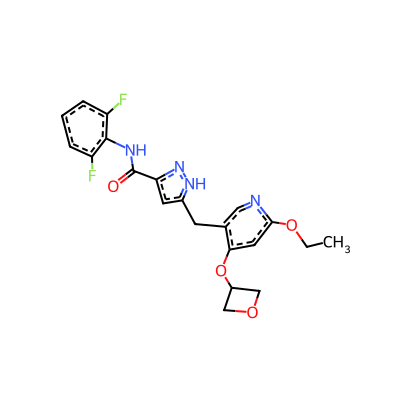 CCOc1cc(OC2COC2)c(Cc2cc(C(=O)Nc3c(F)cccc3F)n[nH]2)cn1